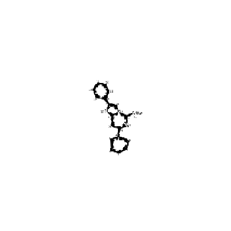 CSc1nc(-c2ccccc2)cc2nc(-c3ccccc3)cn12